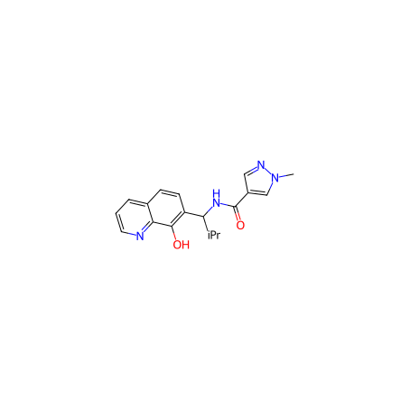 CC(C)C(NC(=O)c1cnn(C)c1)c1ccc2cccnc2c1O